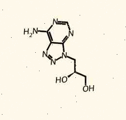 Nc1ncnc2c1nnn2C[C@H](O)CO